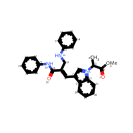 COC(=O)C(C)n1cc(/C=C(\CNc2ccccc2)C(=O)Nc2ccccc2)c2ccccc21